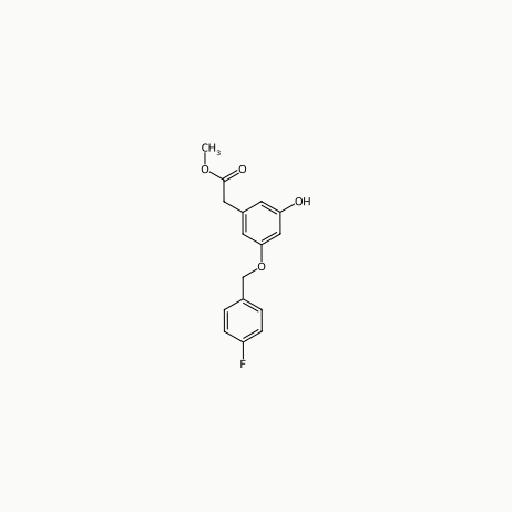 COC(=O)Cc1cc(O)cc(OCc2ccc(F)cc2)c1